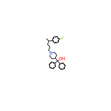 CC(CCCN1CCC(C(O)(c2ccccc2)c2ccccc2)CC1)c1ccc(F)cc1